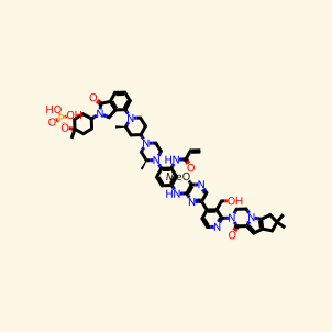 C=CC(=O)Nc1cc(Nc2nc(-c3ccnc(N4CCn5c(cc6c5CC(C)(C)C6)C4=O)c3CO)cnc2OC)ccc1N1CCN(C2CCN(c3cccc4c3CN(C3CCC(C)(OP(=O)(O)O)CC3)C4=O)[C@H](C)C2)C[C@@H]1C